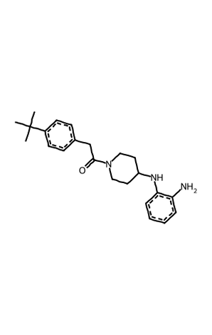 CC(C)(C)c1ccc(CC(=O)N2CCC(Nc3ccccc3N)CC2)cc1